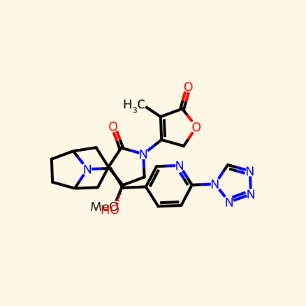 COC1CN(C2=C(C)C(=O)OC2)C(=O)C12CC1CCC(C2)N1C[C@@H](O)c1ccc(-n2cnnn2)nc1